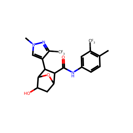 Cc1ccc(NC(=O)C2C3CC(O)C(O3)C2c2cn(C)nc2C(F)(F)F)cc1C(F)(F)F